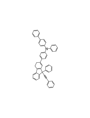 C(#CC1(c2ccccc2)C2=C(CCC(c3ccc(N(c4ccccc4)c4ccc(-c5ccccc5)cc4)cc3)=C2)c2ccccc21)c1ccccc1